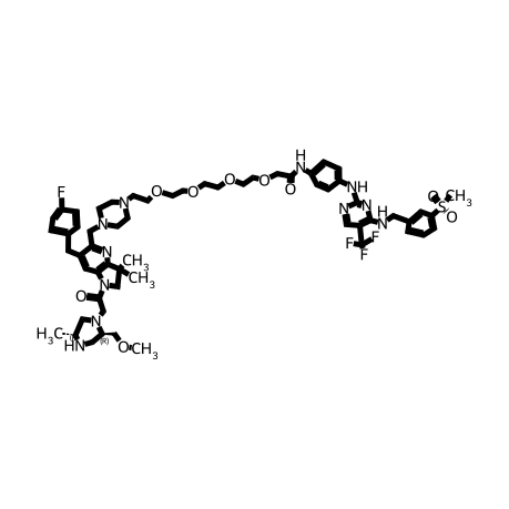 COC[C@H]1CN[C@H](C)CN1CC(=O)N1CC(C)(C)c2nc(CN3CCN(CCOCCOCCOCCOCC(=O)Nc4ccc(Nc5ncc(C(F)(F)F)c(NCc6cccc(S(C)(=O)=O)c6)n5)cc4)CC3)c(Cc3ccc(F)cc3)cc21